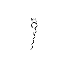 CCCCCCN=Cc1ccc(N)cc1